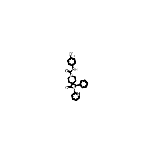 O=C(Nc1ccc(C(F)(F)F)cc1)N1CCC2(CC1)C(=O)N(c1ccccn1)C2c1ccccc1